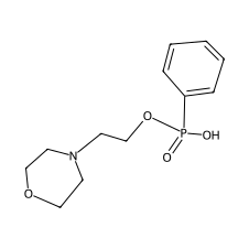 O=P(O)(OCCN1CCOCC1)c1ccccc1